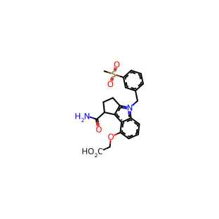 CS(=O)(=O)c1cccc(Cn2c3c(c4c(OCC(=O)O)cccc42)C(C(N)=O)CC3)c1